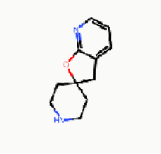 c1cnc2c(c1)CC1(CCNCC1)O2